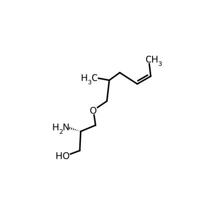 C/C=C\CC(C)COC[C@@H](N)CO